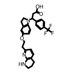 O=C(O)CC(c1ccc(C(F)(F)F)cc1)N1CCc2cc(OCCc3ccc4c(n3)NCCC4)ccc21